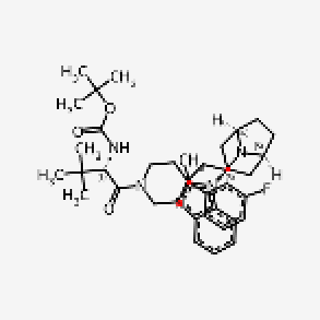 Cc1nc2ccccc2n1[C@H]1C[C@H]2CC[C@@H](C1)N2CCC1(c2cccc(F)c2)CCN(C(=O)[C@@H](NC(=O)OC(C)(C)C)C(C)(C)C)CC1